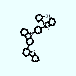 Cc1ccccc1-n1c(-c2ccc(-n3c4ccccc4c4cc(-c5cccc6c5oc5ccccc56)ccc43)cc2)nc2ccccc21